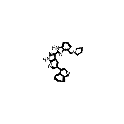 c1ccc2c(-c3cnc4[nH]nc(-c5nc6c(CN7CCCC7)cccc6[nH]5)c4c3)cncc2c1